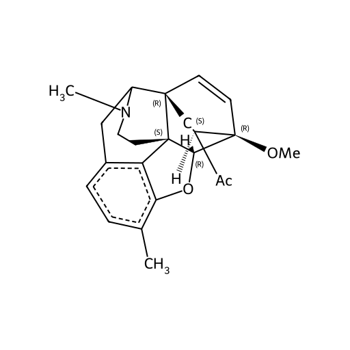 CO[C@]12C=C[C@@]3(C[C@@H]1C(C)=O)C1Cc4ccc(C)c5c4[C@@]3(CCN1C)[C@H]2O5